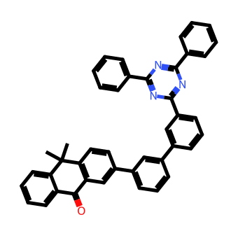 CC1(C)c2ccccc2C(=O)c2cc(-c3cccc(-c4cccc(-c5nc(-c6ccccc6)nc(-c6ccccc6)n5)c4)c3)ccc21